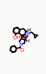 O=C(c1ccccc1)N1C[C@H]2C[C@@]34CCC1C2[C@@]31CCN(CC2CC2)[C@@H]4Cc2cccc(O)c21